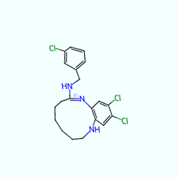 Clc1cccc(CN/C2=N/c3cc(Cl)c(Cl)cc3NCCCCCC2)c1